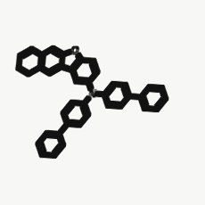 C1=Cc2cc3oc4ccc(N(c5ccc(-c6ccccc6)cc5)c5ccc(-c6ccccc6)cc5)cc4c3cc2CC1